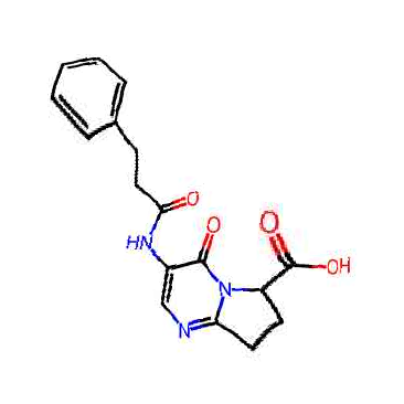 O=C(CCc1ccccc1)Nc1cnc2n(c1=O)C(C(=O)O)CC2